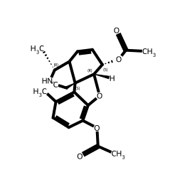 CC(=O)Oc1ccc(C)c2c1O[C@H]1[C@@H](OC(C)=O)C=CC3[C@@H](C)NCC[C@@]231